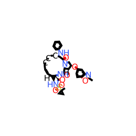 Cc1nc2cc(O[C@@H]3C[C@H]4C(=O)N[C@]5(C(=O)NS(=O)(=O)C6(C)CC6)C[C@H]5/C=C\CCCCC[C@H](Nc5ccccc5)C(=O)N4C3)ccc2o1